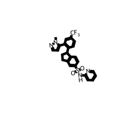 Cn1nccc1-c1cc(C(F)(F)F)ccc1C1CCc2cc(S(=O)(=O)Nc3ccccn3)ccc21